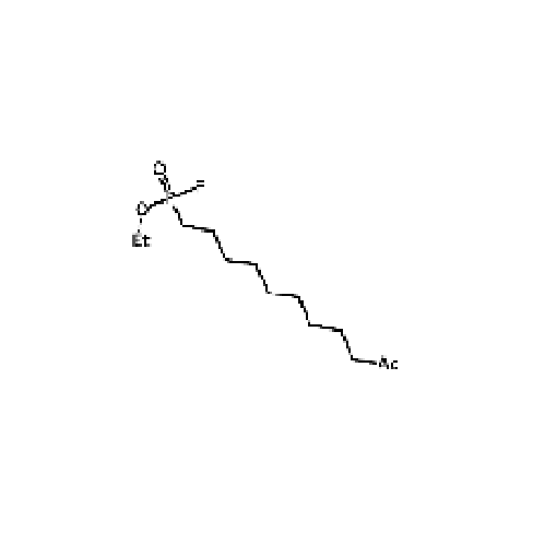 CCOP(=O)(F)CCCCCCCCCC(C)=O